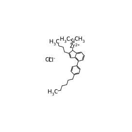 CCCCCCc1ccc(-c2cccc3c2C=C(CCCC)[CH]3[Zr+2][Si](C)C)cc1.[Cl-].[Cl-]